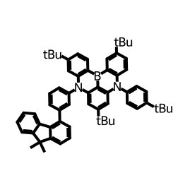 CC(C)(C)c1ccc(N2c3ccc(C(C)(C)C)cc3B3c4ccc(C(C)(C)C)cc4N(c4cccc(-c5cccc6c5-c5ccccc5C6(C)C)c4)c4cc(C(C)(C)C)cc2c43)cc1